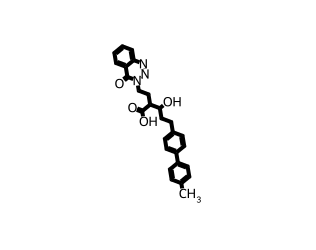 Cc1ccc(-c2ccc(CCC(O)C(CCn3nnc4ccccc4c3=O)C(=O)O)cc2)cc1